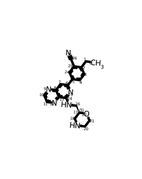 CCc1ccc(-c2cc3nccnc3c(NC[C@@H]3CNCCO3)n2)cc1C#N